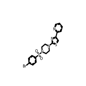 O=S(=O)(c1ccc(Br)cc1)N1CCN(c2nc(-c3ccccn3)cs2)CC1